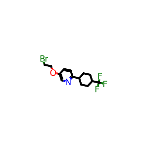 FC(F)(F)C1CCC(c2ccc(OCCBr)cn2)CC1